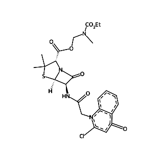 CCOC(=O)N(C)COC(=O)[C@@H]1N2C(=O)[C@@H](NC(=O)Cn3c(Cl)cc(=O)c4ccccc43)[C@H]2SC1(C)C